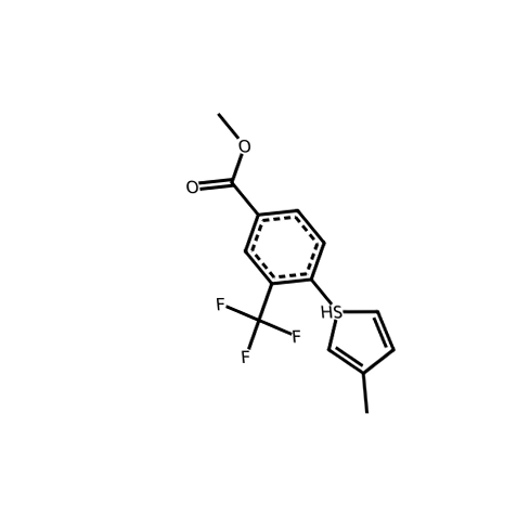 COC(=O)c1ccc([SH]2C=CC(C)=C2)c(C(F)(F)F)c1